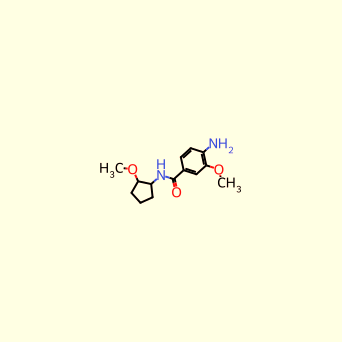 COc1cc(C(=O)NC2CCCC2OC)ccc1N